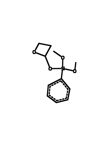 CO[Si](OC)(OC1CCO1)c1ccccc1